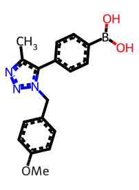 COc1ccc(Cn2nnc(C)c2-c2ccc(B(O)O)cc2)cc1